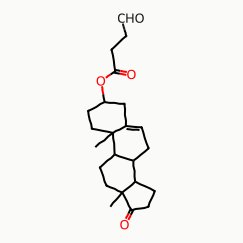 CC12CCC3C(CC=C4CC(OC(=O)CCC=O)CCC43C)C1CCC2=O